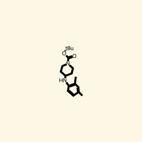 Cc1ccc(NC2CCN(C(=O)OC(C)(C)C)CC2)c(C)c1